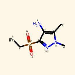 Cc1c(N)c(S(=O)(=O)CC(C)C)nn1C